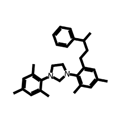 Cc1cc(C)c(N2CCN(c3c(C)cc(C)cc3CCC(C)c3ccccc3)C2)c(C)c1